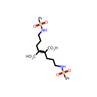 CC(C)S(=O)(=O)NCCC/C(C(=O)O)=C(/CCCNS(=O)(=O)C(C)C)C(=O)O